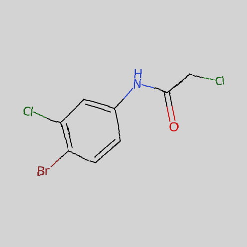 O=C(CCl)Nc1ccc(Br)c(Cl)c1